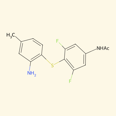 CC(=O)Nc1cc(F)c(Sc2ccc(C)cc2N)c(F)c1